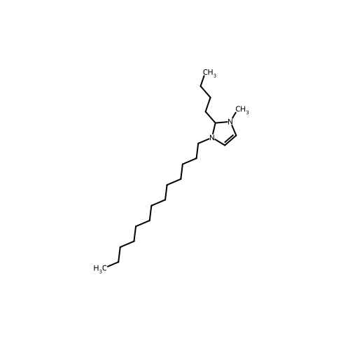 CCCCCCCCCCCCCN1C=CN(C)C1CCCC